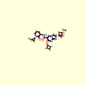 O=C(Nc1cccn(C2CC2F)c1=O)c1cn2cc([C@]34CO[C@](CF)(C3)C4)nc2nc1OC1CCC1